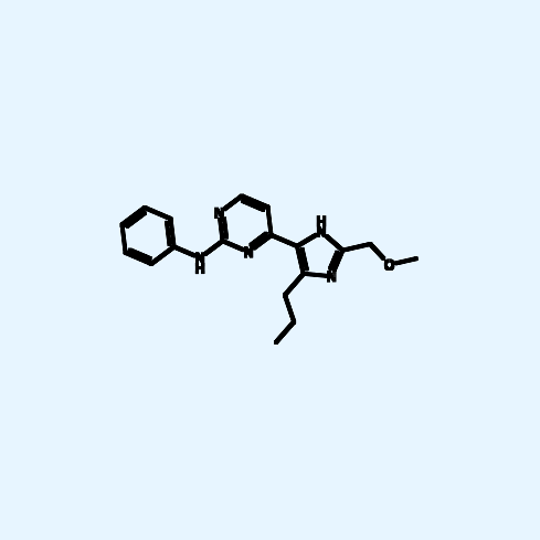 CCCc1nc(COC)[nH]c1-c1ccnc(Nc2ccccc2)n1